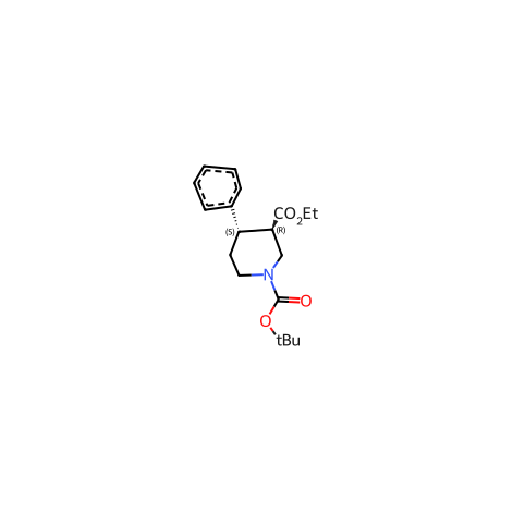 CCOC(=O)[C@H]1CN(C(=O)OC(C)(C)C)CC[C@@H]1c1ccccc1